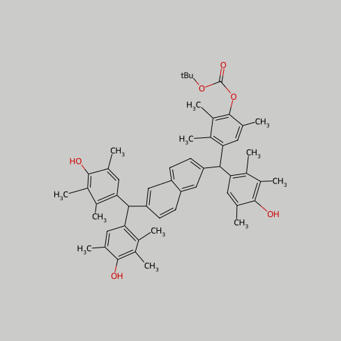 Cc1cc(C(c2ccc3cc(C(c4cc(C)c(O)c(C)c4C)c4cc(C)c(OC(=O)OC(C)(C)C)c(C)c4C)ccc3c2)c2cc(C)c(O)c(C)c2C)c(C)c(C)c1O